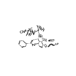 COc1ccc2nc(-c3ccccc3)cc(NC(=N)NC=O)c2c1OC